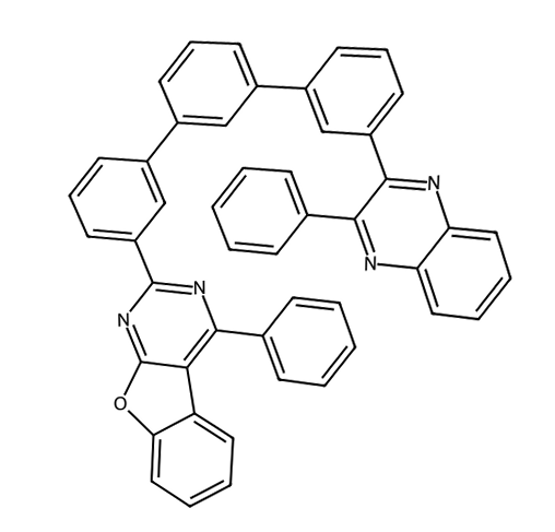 c1ccc(-c2nc3ccccc3nc2-c2cccc(-c3cccc(-c4cccc(-c5nc(-c6ccccc6)c6c(n5)oc5ccccc56)c4)c3)c2)cc1